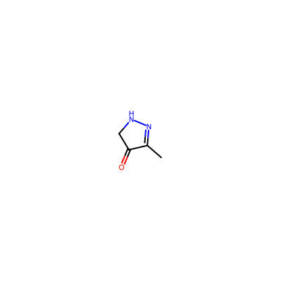 CC1=NNCC1=O